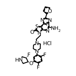 Cl.Nc1nc2c(sc(=O)n2CCN2CCN(c3cc(O[C@@H]4CNC[C@@H]4F)c(F)cc3F)CC2)c2nc(-c3ccco3)nn12